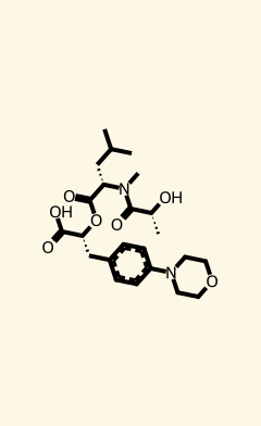 CC(C)C[C@@H](C(=O)O[C@H](Cc1ccc(N2CCOCC2)cc1)C(=O)O)N(C)C(=O)[C@@H](C)O